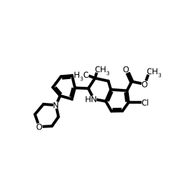 COC(=O)c1c(Cl)ccc2c1CC(C)(C)C(c1cccc(N3CCOCC3)c1)N2